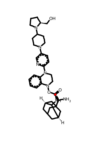 NC(=O)C12CC3C[C@H](C1)C(NC(=O)ON1CCN(c4ccc(N5CCC(N6CCC[C@H]6CO)CC5)cn4)c4ccccc41)[C@@H](C3)C2